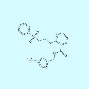 Cc1csc(CNC(=O)c2cccnc2SCCS(=O)(=O)c2ccccc2)c1